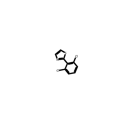 Clc1cccc(Cl)c1-c1nc[c]s1